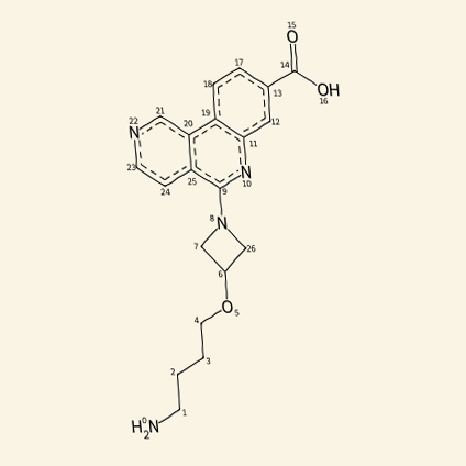 NCCCCOC1CN(c2nc3cc(C(=O)O)ccc3c3cnccc23)C1